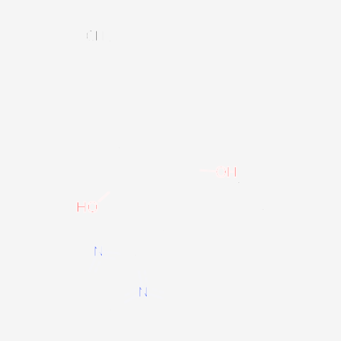 CCCc1cc(O)c(-c2c(C3CC3)ccn3ccnc23)c(O)c1